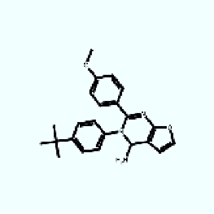 COc1ccc(C2=Nc3occc3C(N)N2c2ccc(C(C)(C)C)cc2)cc1